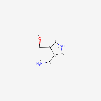 NCC1CNCC1C=O